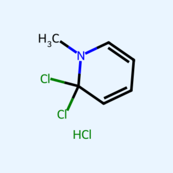 CN1C=CC=CC1(Cl)Cl.Cl